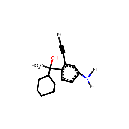 CCC#Cc1cc(N(CC)CC)ccc1C(O)(C(=O)O)C1CCCCC1